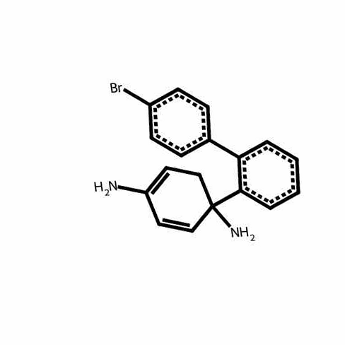 NC1=CCC(N)(c2ccccc2-c2ccc(Br)cc2)C=C1